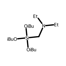 CCN(CC)C[Si](OCC(C)C)(OCC(C)C)OCC(C)C